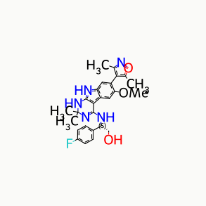 COc1cc2c3c([nH]c2cc1-c1c(C)noc1C)NC(C)(C)N=C3N[C@H](CO)c1ccc(F)cc1